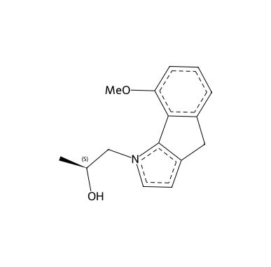 COc1cccc2c1-c1c(ccn1C[C@H](C)O)C2